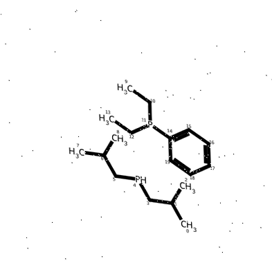 CC(C)CPCC(C)C.CCP(CC)c1ccccc1